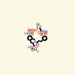 CCC(=O)NS(=O)(=O)c1cccc(CCC(=O)N2Cc3cc(NS(=O)(=O)O)ccc3CC2C(=O)NC)c1